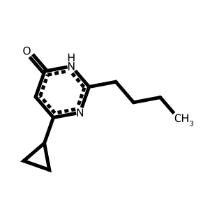 CCCCc1nc(C2CC2)cc(=O)[nH]1